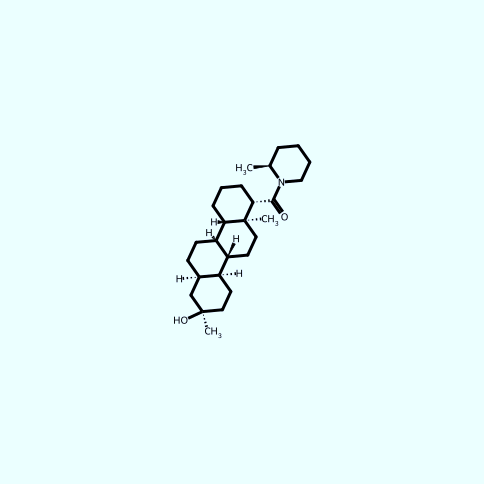 C[C@H]1CCCCN1C(=O)[C@H]1CCC[C@H]2[C@@H]3CC[C@@H]4C[C@](C)(O)CC[C@@H]4[C@H]3CC[C@]12C